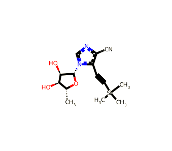 C[C@H]1O[C@@H](n2cnc(C#N)c2C#C[Si](C)(C)C)[C@H](O)[C@@H]1O